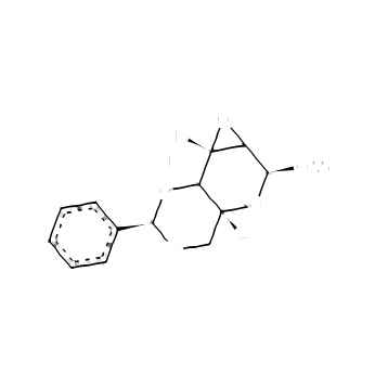 CO[C@H]1O[C@@H]2CO[C@@H](c3ccccc3)O[C@H]2[C@@H]2OC12